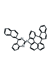 c1ccc2cc(-c3nc(-n4c5cccc6c5c5c7c(cccc7ccc54)-c4ccc5ccccc5c4-6)nc4ccccc34)ccc2c1